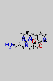 NCCCN(CC1COc2ncccc2O1)c1ncccn1